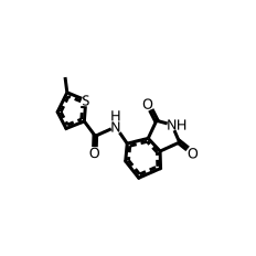 Cc1ccc(C(=O)Nc2cccc3c2C(=O)NC3=O)s1